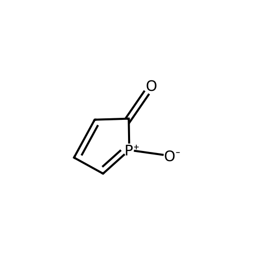 O=C1C=CC=[P+]1[O-]